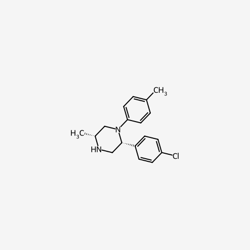 Cc1ccc(N2C[C@@H](C)NC[C@H]2c2ccc(Cl)cc2)cc1